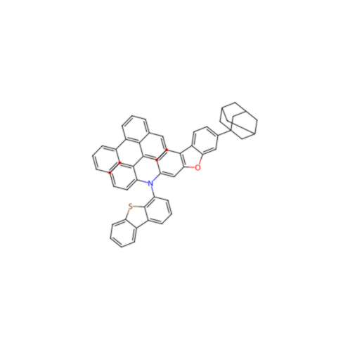 c1ccc(-c2cccc3cccc(-c4ccccc4N(c4ccc5c(c4)oc4cc(C67CC8CC(CC(C8)C6)C7)ccc45)c4cccc5c4sc4ccccc45)c23)cc1